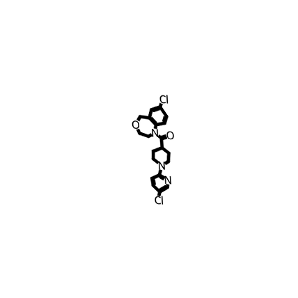 O=C(C1CCN(c2ccc(Cl)cn2)CC1)N1CCOCc2cc(Cl)ccc21